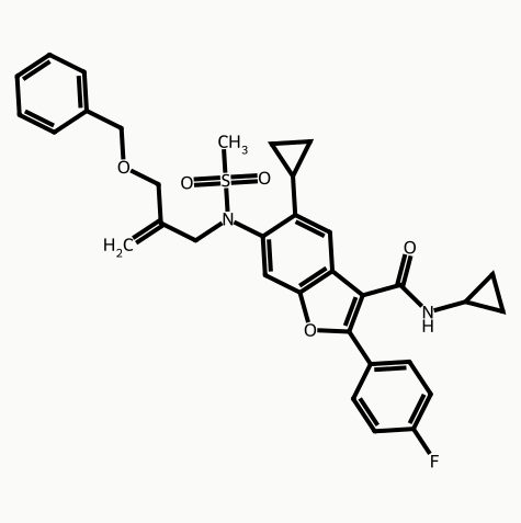 C=C(COCc1ccccc1)CN(c1cc2oc(-c3ccc(F)cc3)c(C(=O)NC3CC3)c2cc1C1CC1)S(C)(=O)=O